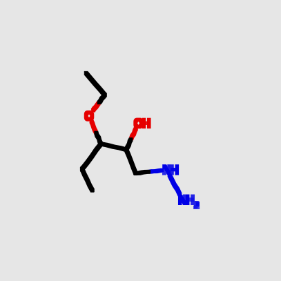 CCOC(CC)C(O)CNN